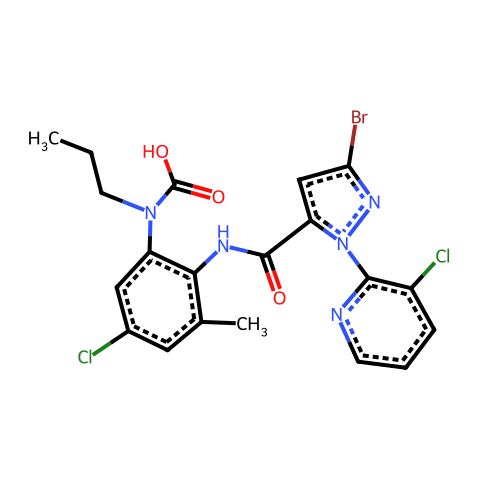 CCCN(C(=O)O)c1cc(Cl)cc(C)c1NC(=O)c1cc(Br)nn1-c1ncccc1Cl